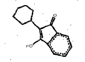 O=C1C(C2CCCCC2)=C(O)c2ccccc21